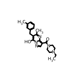 CCN1CCN(C(=O)c2cnn3c(O)c(Cc4cccc(C)c4)c(C)nc23)CC1